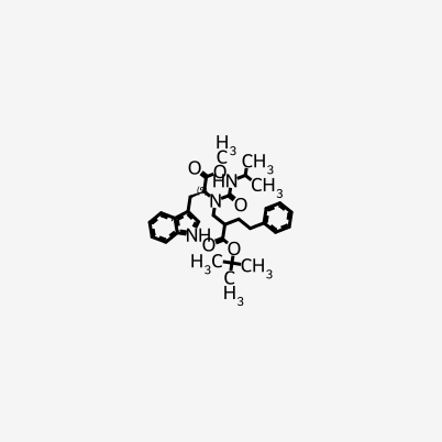 COC(=O)[C@H](Cc1c[nH]c2ccccc12)N(CC(CCc1ccccc1)C(=O)OC(C)(C)C)C(=O)NC(C)C